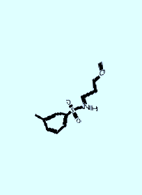 COCCCNS(=O)(=O)c1cccc(C)c1